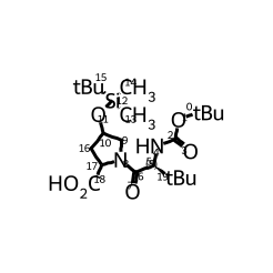 CC(C)(C)OC(=O)N[C@H](C(=O)N1CC(O[Si](C)(C)C(C)(C)C)CC1C(=O)O)C(C)(C)C